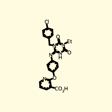 CCn1c(=O)[nH]/c(=N\c2ccc(Oc3ncccc3C(=O)O)cc2)n(Cc2ccc(Cl)cc2)c1=O